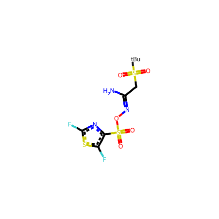 CC(C)(C)S(=O)(=O)CC(N)=NOS(=O)(=O)c1nc(F)sc1F